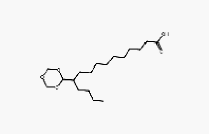 CCCCC(CCCCCCCCCC(=O)O)C1OCOCO1